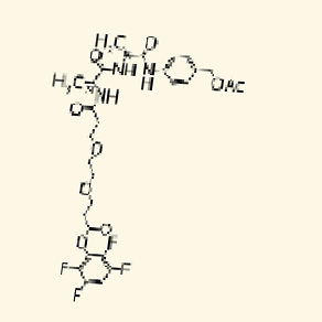 CC(=O)OCc1ccc(NC(=O)[C@H](C)NC(=O)[C@H](C)NC(=O)CCOCCOCCC(=O)Oc2c(F)c(F)cc(F)c2F)cc1